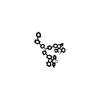 c1ccc(-c2cccc(-c3ccc(N(c4ccc(-c5ccc6c(c5)C5(c7ccccc7Oc7ccccc75)c5ccccc5-6)cc4)c4cccc(-c5ccc6c(c5)-c5ccccc5C65c6ccccc6Oc6ccccc65)c4)cc3)c2)cc1